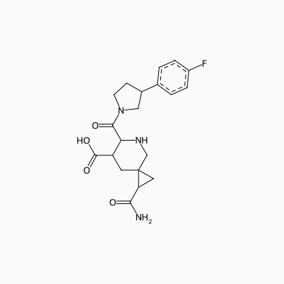 NC(=O)C1CC12CNC(C(=O)N1CCC(c3ccc(F)cc3)C1)C(C(=O)O)C2